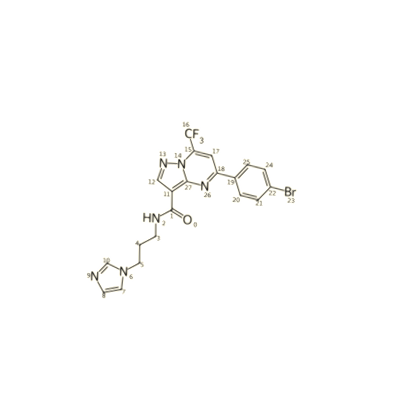 O=C(NCCCn1ccnc1)c1cnn2c(C(F)(F)F)cc(-c3ccc(Br)cc3)nc12